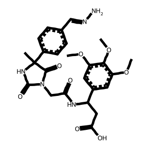 COc1cc(C(CC(=O)O)NC(=O)CN2C(=O)NC(C)(c3ccc(C=NN)cc3)C2=O)cc(OC)c1OC